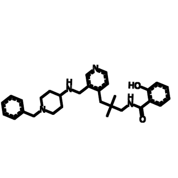 CC(C)(CNC(=O)c1ccccc1O)Cc1ccncc1CNC1CCN(Cc2ccccc2)CC1